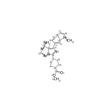 COC(=O)C1CCC(c2nc(C3=CC4C(C=C3)C=CN4C)c3c(N)ncnn23)CC1